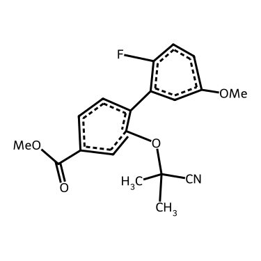 COC(=O)c1ccc(-c2cc(OC)ccc2F)c(OC(C)(C)C#N)c1